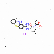 COC1OCC[C@@H]1NC(=O)[C@H](CC(C)C)NC(=N)c1ccc2c(c1)Nc1ccccc1S2.I